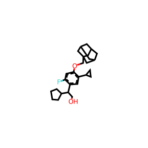 OCC(c1cc(C2CC2)c(OCC23CC4CC(CC(C4)C2)C3)cc1F)C1CCCC1